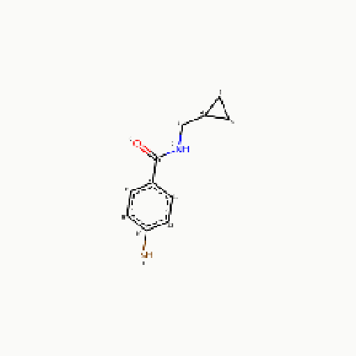 O=C(NCC1CC1)c1ccc(S)cc1